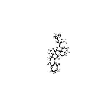 CC(CCN(c1cccc2ccccc12)C1CCCc2c1ccc1c2ccc2ccccc21)O[SH](=O)=O